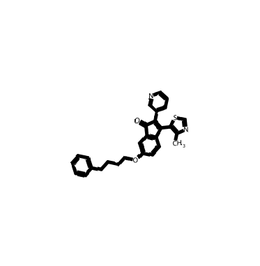 Cc1ncsc1C1=C(c2cccnc2)C(=O)c2cc(OCCCCc3ccccc3)ccc21